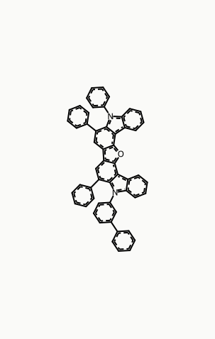 c1ccc(-c2cccc(-n3c4ccccc4c4c5oc6c(cc(-c7ccccc7)c7c6c6ccccc6n7-c6ccccc6)c5cc(-c5ccccc5)c43)c2)cc1